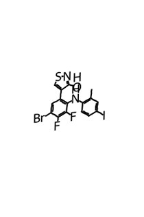 Cc1cc(I)ccc1Nc1c(-c2csnc2O)cc(Br)c(F)c1F